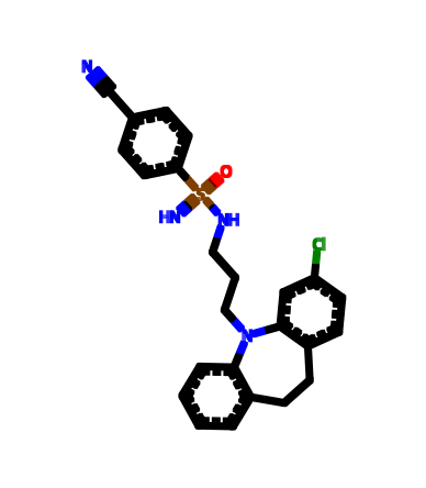 N#Cc1ccc(S(=N)(=O)NCCCN2c3ccccc3CCc3ccc(Cl)cc32)cc1